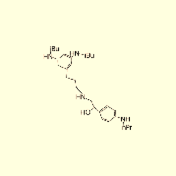 CCCNc1ccc(C(O)CNCCCCc2cc(NC(C)CC)cc(NC(C)CC)c2)cc1